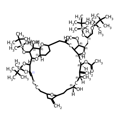 C=C1CC2CCC/C=C/C(O[Si](C)(C)C(C)(C)C)[C@@H]3O[C@H]4CCC(CC(=O)CC5[C@H](C[C@@H](OC(C)=O)C(=C)[C@H](C)C[C@H](O)CCC1O2)O[C@H](C[C@@H](CO[Si](C)(C)C(C)(C)C)O[Si](C)(C)C(C)(C)C)[C@@H]5OC)O[C@@H]4[C@H](O)C3O[Si](C)(C)C(C)(C)C